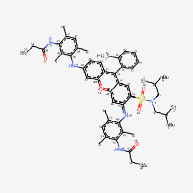 CCCCC(CC)CN(CC(CC)CCCC)S(=O)(=O)c1cc2c(-c3ccccc3S(=O)(=O)O)c3ccc(Nc4c(C)cc(C)c(NC(=O)CC(C)(C)C)c4C)cc3oc-2c/c1=N\c1c(C)cc(C)c(NC(=O)CC(C)(C)C)c1C